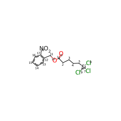 O=C(CCCC[Si](Cl)(Cl)Cl)OCc1ccccc1[N+](=O)[O-]